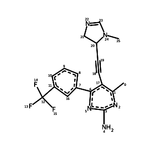 Cc1nc(N)nc(-c2cccc(C(F)(F)F)c2)c1C#CC1CN=CN1C